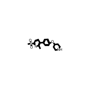 Cc1nc(S(C)(=O)=O)ccc1-c1ccc(OC2CCNCC2)cc1